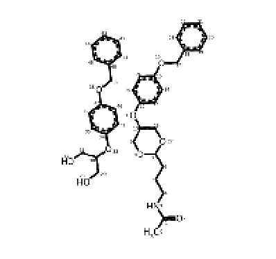 CC(=O)NCCCC1OCC(Oc2ccc(OCc3ccccc3)cc2)CO1.OCC(CO)Oc1ccc(OCc2ccccc2)cc1